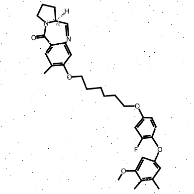 COc1cc(Oc2ccc(OCCCCCCOc3cc4c(cc3C)C(=O)N3CCC[C@H]3C=N4)cc2F)cc(C)c1C